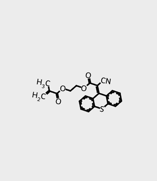 C=C(C)C(=O)OCCOC(=O)C(C#N)=C1c2ccccc2Sc2ccccc21